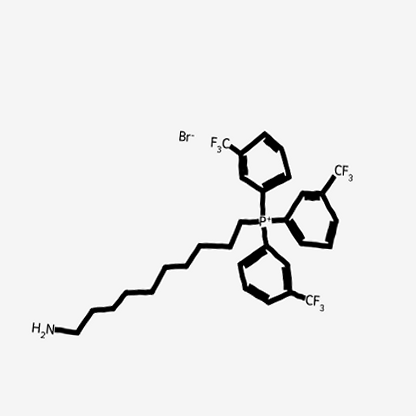 NCCCCCCCCCC[P+](c1cccc(C(F)(F)F)c1)(c1cccc(C(F)(F)F)c1)c1cccc(C(F)(F)F)c1.[Br-]